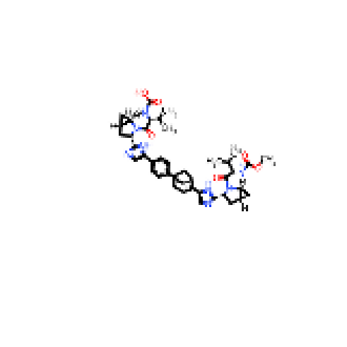 COC(=O)N[C@H](C(=O)N1[C@@H]2C[C@@H]2C[C@H]1c1ncc(C23CCC(c4ccc(-c5cnc([C@@H]6C[C@H]7C[C@H]7N6C(=O)[C@H](C(C)C)N(C)C(=O)O)[nH]5)cc4)(CC2)CC3)[nH]1)C(C)C